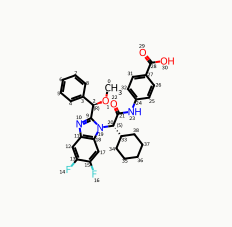 CO[C@H](c1ccccc1)c1nc2cc(F)c(F)cc2n1[C@H](C(=O)Nc1ccc(C(=O)O)cc1)C1CCCCC1